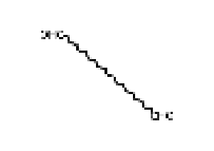 O=[C]CCCCCCCCCCCCCCCCCCC[C]=O